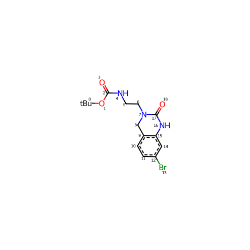 CC(C)(C)OC(=O)NCCN1Cc2ccc(Br)cc2NC1=O